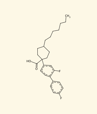 CCCCCCCC1CCC(C(=O)O)(c2ccc(-c3ccc(F)cc3)c(F)c2)CC1